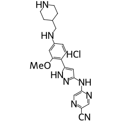 COc1cc(NCC2CCNCC2)ccc1-c1cc(Nc2cnc(C#N)cn2)n[nH]1.Cl